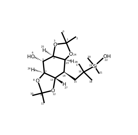 CC1(C)O[C@@H]2[C@@H](O)[C@@H]3OC(C)(C)O[C@H]3[C@H](CC(C)(C)[Si](C)(C)O)[C@@H]2O1